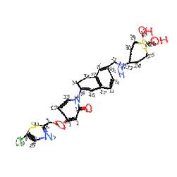 O=c1cc(OCc2ncc(Cl)s2)ccn1C1=Cc2ccc(CNC3CCS(O)(O)CC3)cc2CC1